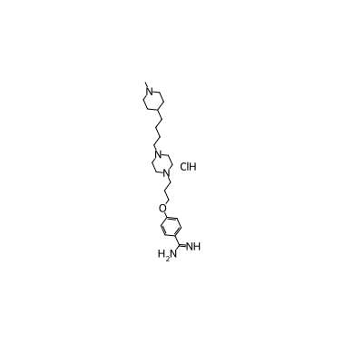 CN1CCC(CCCCN2CCN(CCCOc3ccc(C(=N)N)cc3)CC2)CC1.Cl